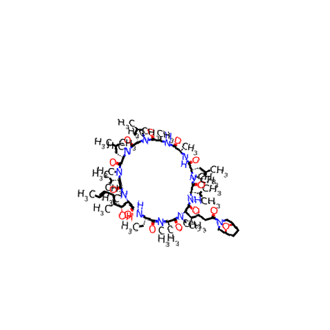 C/C=C/C[C@@H](C)[C@@H](O)[C@H]1C(=O)N[C@@H](CC)C(=O)N(C)[C@H](C)C(=O)N(C)[C@@H]([C@H](C)CCC(=O)N2CC3CCC(C2)O3)C(=O)N[C@@H](C(C)C)C(=O)N(C)[C@@H](CC(C)C)C(=O)N[C@@H](C)C(=O)N[C@H](C)C(=O)N(C)[C@@H](CC(C)C)C(=O)N(C)[C@@H](CC(C)C)C(=O)N(C)[C@@H](C(C)C)C(=O)N1C